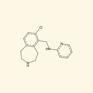 Clc1ccc2c(c1CNc1ccccn1)CCNCC2